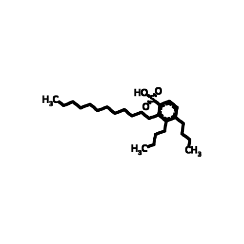 CCCCCCCCCCCCc1c(S(=O)(=O)O)ccc(CCCC)c1CCCC